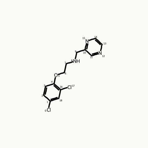 Clc1ccc(OCCNCc2cnccn2)c(Cl)c1